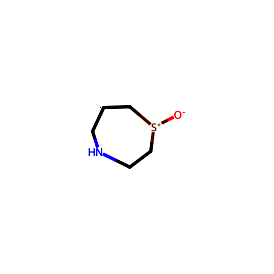 [O-][S+]1C[CH]CNCC1